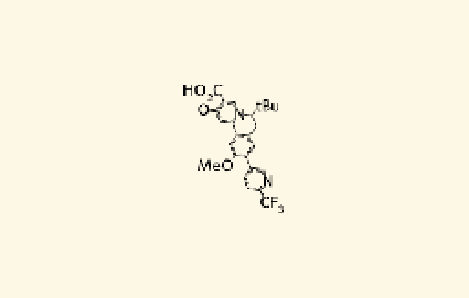 COc1cc2c(cc1-c1ccc(C(F)(F)F)nc1)CC(C(C)(C)C)n1cc(C(=O)O)c(=O)cc1-2